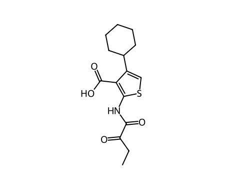 CCC(=O)C(=O)Nc1scc(C2CCCCC2)c1C(=O)O